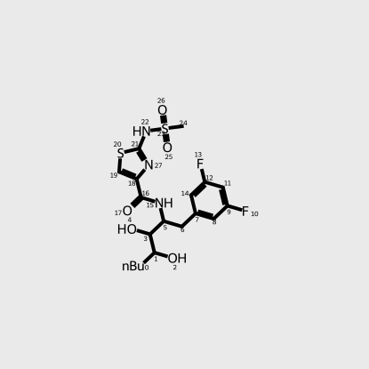 CCCCC(O)C(O)C(Cc1cc(F)cc(F)c1)NC(=O)c1csc(NS(C)(=O)=O)n1